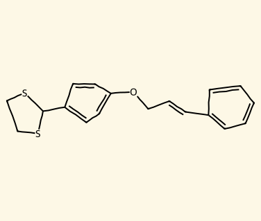 C(=Cc1ccccc1)COc1ccc(C2SCCS2)cc1